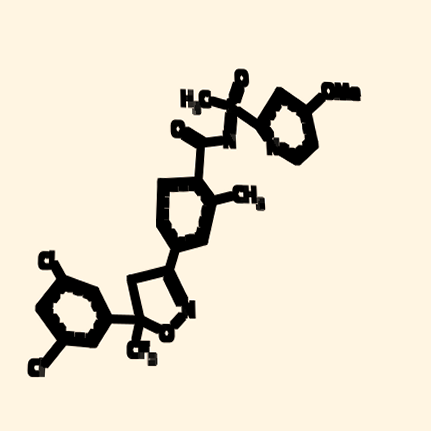 COc1ccnc(S(C)(=O)=NC(=O)c2ccc(C3=NOC(c4cc(Cl)cc(Cl)c4)(C(F)(F)F)C3)cc2C)c1